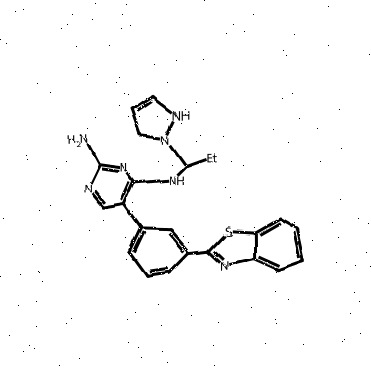 CCC(Nc1nc(N)ncc1-c1cccc(-c2nc3ccccc3s2)c1)N1CC=CN1